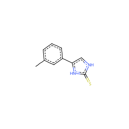 Cc1cccc(-c2c[nH]c(=S)[nH]2)c1